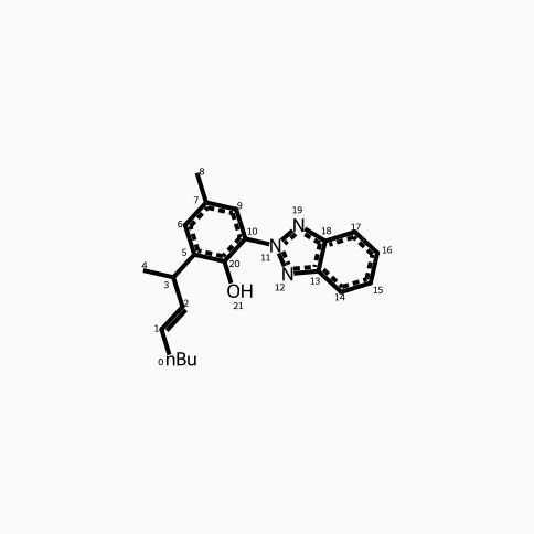 CCCC/C=C/C(C)c1cc(C)cc(-n2nc3ccccc3n2)c1O